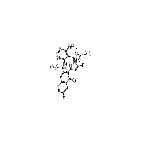 Cc1nnc(-c2c(N)ncnc2N[C@@H](C)c2cc3ccc(F)cc3c(=O)n2-c2cc(F)[nH]n2)o1